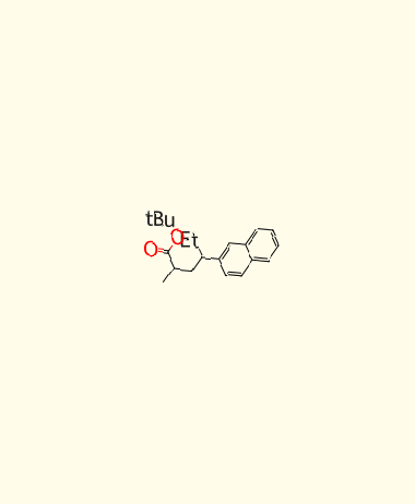 CCC(CC(C)C(=O)OC(C)(C)C)c1ccc2ccccc2c1